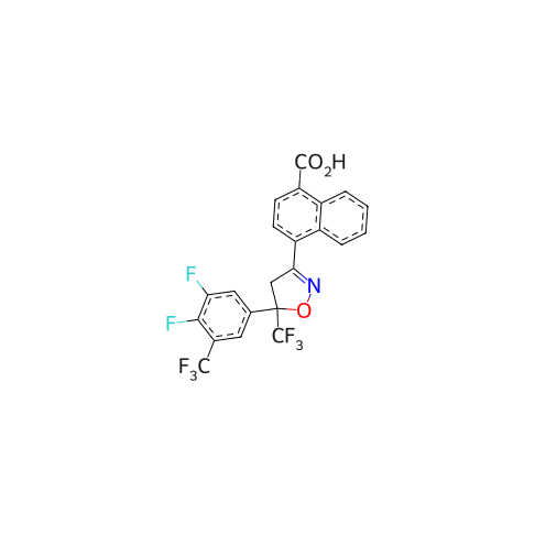 O=C(O)c1ccc(C2=NOC(c3cc(F)c(F)c(C(F)(F)F)c3)(C(F)(F)F)C2)c2ccccc12